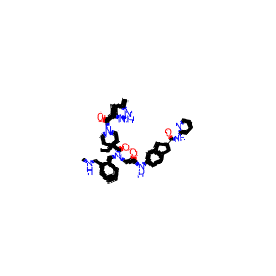 CCC1(C(=O)N(CC(=O)Nc2ccc3c(c2)C[C@H](C(=O)Nc2ccccn2)C3)Cc2ccccc2CNC)CCN(C(=O)c2cc(C)n[nH]2)CC1